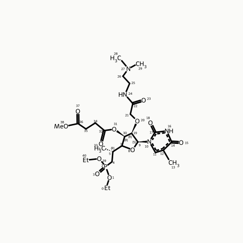 CCOP(=O)(C[C@H](C)C1O[C@H](n2cc(C)c(=O)[nH]c2=O)[C@H](OCC(=O)NCCN(C)C)[C@@H]1OC(=O)CCC(=O)OC)OCC